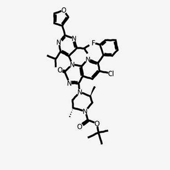 CC(C)c1nc(-c2ccoc2)nc(C(C)C)c1-n1c(=O)nc(N2C[C@@H](C)N(C(=O)OC(C)(C)C)C[C@@H]2C)c2cc(Cl)c(-c3ccccc3F)nc21